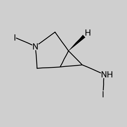 INC1C2CN(I)C[C@@H]21